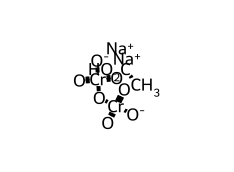 CC(=O)O.[Na+].[Na+].[O]=[Cr](=[O])([O-])[O][Cr](=[O])(=[O])[O-]